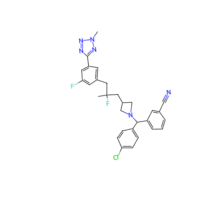 Cn1nnc(-c2cc(F)cc(CC(C)(F)CC3CN(C(c4ccc(Cl)cc4)c4cccc(C#N)c4)C3)c2)n1